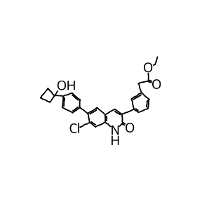 CCOC(=O)Cc1cccc(-c2cc3cc(-c4ccc(C5(O)CCC5)cc4)c(Cl)cc3[nH]c2=O)c1